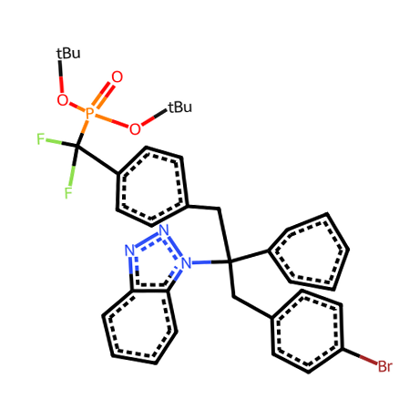 CC(C)(C)OP(=O)(OC(C)(C)C)C(F)(F)c1ccc(CC(Cc2ccc(Br)cc2)(c2ccccc2)n2nnc3ccccc32)cc1